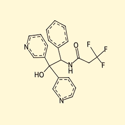 O=C(CC(F)(F)F)NC(c1ccccc1)C(O)(c1cccnc1)c1cccnc1